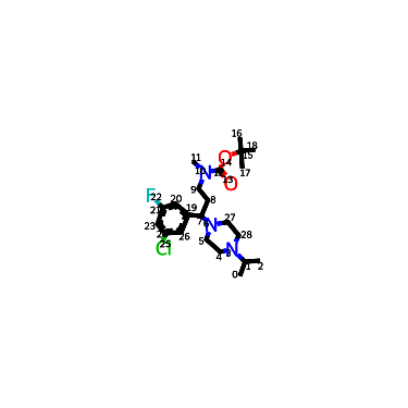 CC(C)N1CCN(C(CCN(C)C(=O)OC(C)(C)C)c2cc(F)cc(Cl)c2)CC1